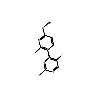 Cc1nc(OC(C)C)ccc1-c1nc(Cl)ncc1F